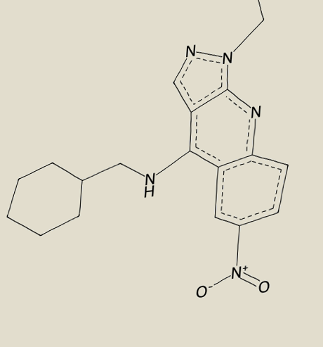 CCn1ncc2c(NCC3CCCCC3)c3cc([N+](=O)[O-])ccc3nc21